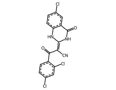 N#C/C(C(=O)c1ccc(Cl)cc1Cl)=C1\NC(=O)c2cc(Cl)ccc2N1